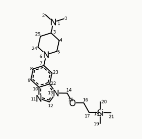 CN(C)C1CCN(c2ccc3ncn(COCC[Si](C)(C)C)c3c2)CC1